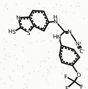 [C-]#[N+]/N=C(\Nc1ccc(OC(F)(F)F)cc1)Nc1ccc2nc(S)sc2c1